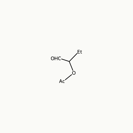 CCC(C=O)OC(C)=O